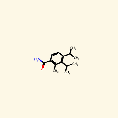 Cc1c(C(N)=O)ccc(C(C)C)c1C(C)C